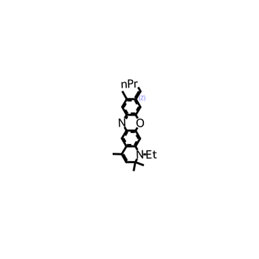 CCC/C=c1/cc2c(cc1C)=Nc1cc3c(cc1O2)N(CC)C(C)(C)C=C3C